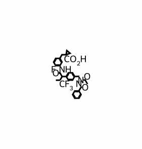 CC(C(C(=O)Nc1cc(CC2(C(=O)O)CC2)ccc1F)c1ccc(CN2N=C(c3ccccc3)OCC2=O)cc1)C(F)(F)F